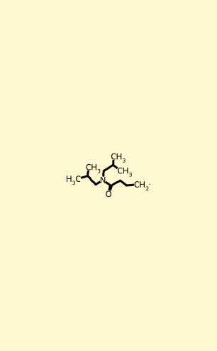 [CH2]CCC(=O)N(CC(C)C)CC(C)C